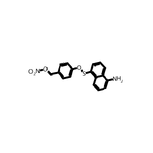 Nc1cccc2c(SOc3ccc(CO[N+](=O)[O-])cc3)cccc12